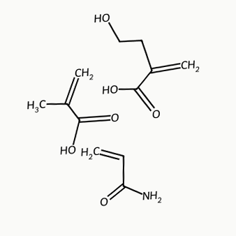 C=C(C)C(=O)O.C=C(CCO)C(=O)O.C=CC(N)=O